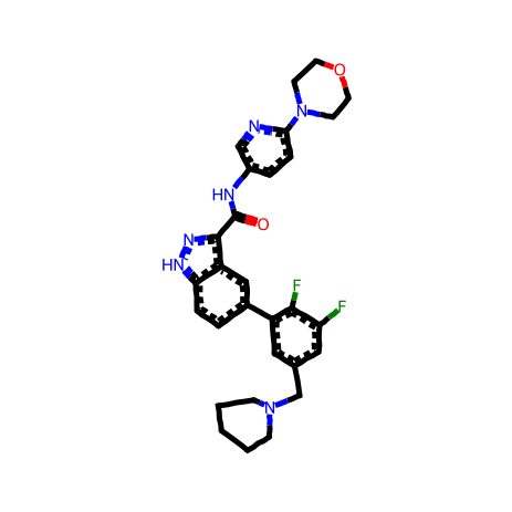 O=C(Nc1ccc(N2CCOCC2)nc1)c1n[nH]c2ccc(-c3cc(CN4CCCCC4)cc(F)c3F)cc12